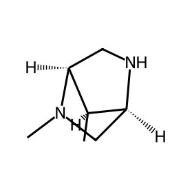 C[C@@H]1[C@@H]2CN(C)[C@H]1CN2